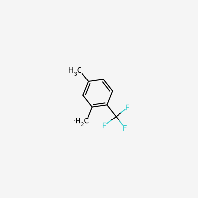 [CH2]c1cc(C)ccc1C(F)(F)F